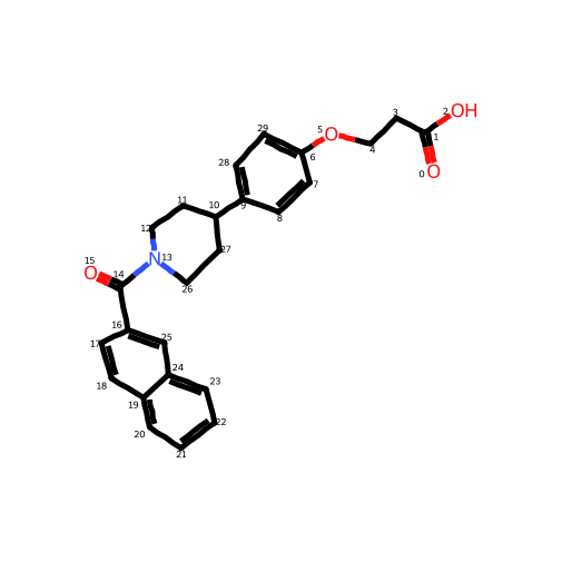 O=C(O)CCOc1ccc(C2CCN(C(=O)c3ccc4ccccc4c3)CC2)cc1